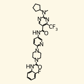 CN(c1ncc(C(=O)Nc2ccc(N3CCN(C(=O)Nc4ccccc4F)CC3)nc2)c(C(F)(F)F)n1)C1CCCC1